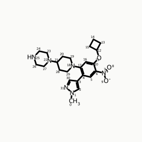 Cn1cc(-c2cc([N+](=O)[O-])c(OC3CCC3)cc2N2CCC(N3CCNCC3)CC2)cn1